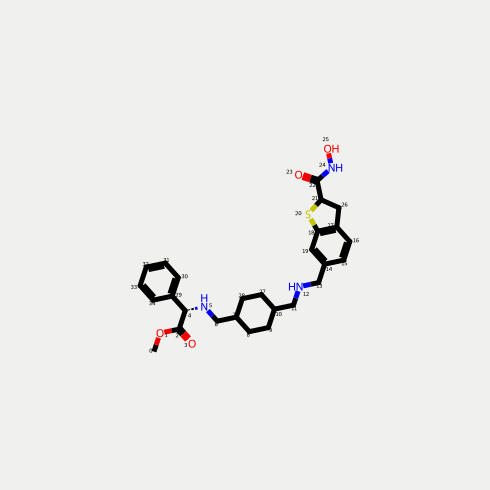 COC(=O)[C@@H](NCC1CCC(CNCc2ccc3c(c2)SC(C(=O)NO)C3)CC1)c1ccccc1